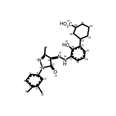 CC1=NN(c2ccc(C)c(C)c2)C(=O)C1=NNc1cccc(C2CCCC(C(=O)O)C2)c1O